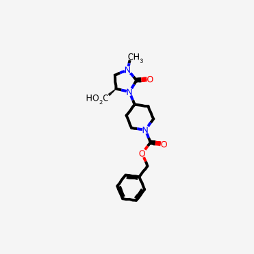 CN1C[C@H](C(=O)O)N(C2CCN(C(=O)OCc3ccccc3)CC2)C1=O